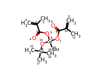 C=C(C)C(=O)O[Si](OC(=O)C(=C)C)(O[Si](C)(C)C)C(C)CC